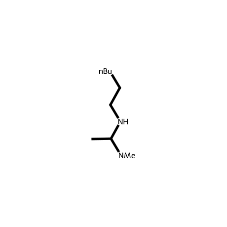 CCCCCCNC(C)NC